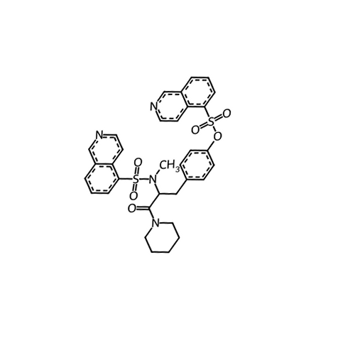 CN(C(Cc1ccc(OS(=O)(=O)c2cccc3cnccc23)cc1)C(=O)N1CCCCC1)S(=O)(=O)c1cccc2cnccc12